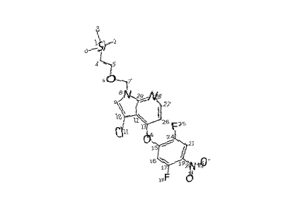 C[Si](C)(C)CCOCn1cc(Cl)c2c(Oc3cc(F)c([N+](=O)[O-])cc3F)ccnc21